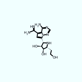 N=C(N)c1cc([C@@H]2N[C@H](CCO)[C@@H](O)[C@H]2O)n2ncnc(N)c12